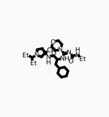 CCNC(=O)/N=C(\NC(CC1CCCCC1)C(=O)NC1(C#N)CCN(C(CC)CC)C1)N1CCOCC1